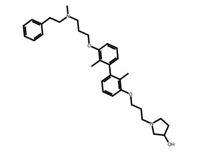 Cc1c(OCCCN(C)CCc2ccccc2)cccc1-c1cccc(OCCCN2CCC(O)C2)c1C